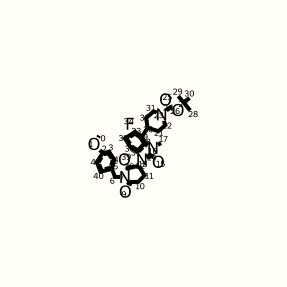 COc1ccc(CN2C(=O)CCC(n3c(=O)n(C)c4c(C5CCN(C(=O)OC(C)(C)C)CC5)c(F)ccc43)C2=O)cc1